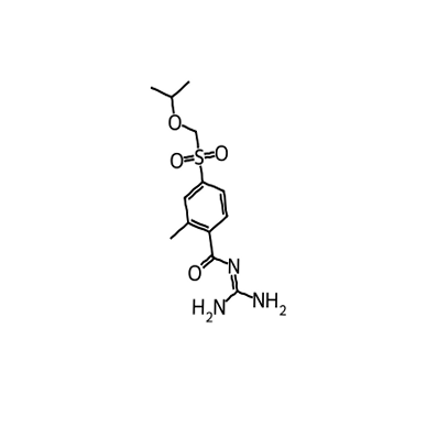 Cc1cc(S(=O)(=O)COC(C)C)ccc1C(=O)N=C(N)N